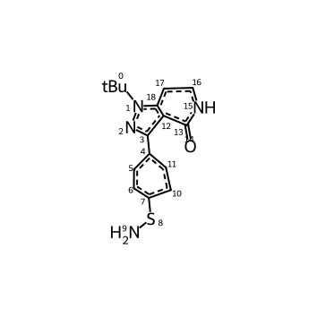 CC(C)(C)n1nc(-c2ccc(SN)cc2)c2c(=O)[nH]ccc21